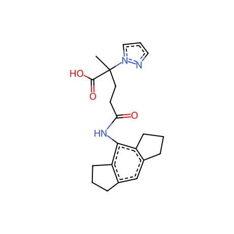 CC(CCC(=O)Nc1c2c(cc3c1CCC3)CCC2)(C(=O)O)n1cccn1